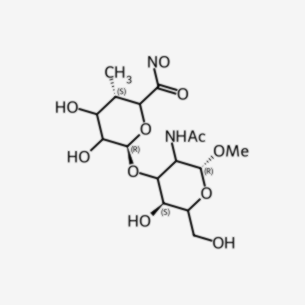 CO[C@@H]1OC(CO)[C@@H](O)C(O[C@@H]2OC(C(=O)N=O)[C@@H](C)C(O)C2O)C1NC(C)=O